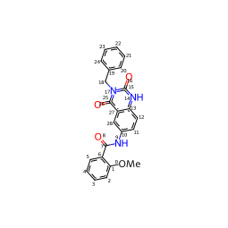 COc1ccccc1C(=O)Nc1ccc2[nH]c(=O)n(Cc3ccccc3)c(=O)c2c1